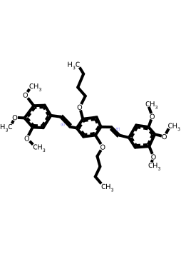 CCCCOc1cc(/C=C/c2cc(OC)c(OC)c(OC)c2)c(OCCCC)cc1/C=C/c1cc(OC)c(OC)c(OC)c1